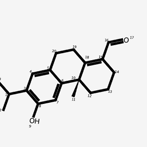 CC(C)c1cc2c(cc1O)[C@@]1(C)CCCC(C=O)=C1CC2